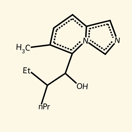 CCCC(CC)C(O)c1c(C)ccc2cncn12